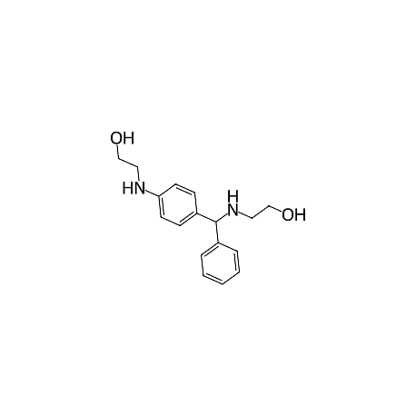 OCCNc1ccc(C(NCCO)c2ccccc2)cc1